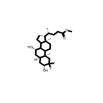 COC(=O)CC[C@@H](C)[C@H]1CCC2C3C(CC[C@@]21C)[C@@]1(C)CC(F)(F)[C@H](O)C[C@H]1C[C@@H]3O